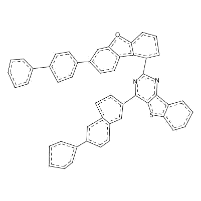 c1ccc(-c2ccc(-c3ccc4c(c3)oc3cccc(-c5nc(-c6ccc7cc(-c8ccccc8)ccc7c6)c6sc7ccccc7c6n5)c34)cc2)cc1